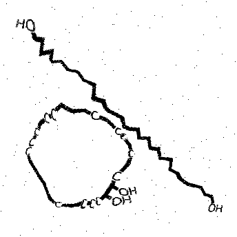 OC1CCCCCCCCCCCCCCCCCCCCCCCCCCC1O.OCCCCCCCCCCCCCCCCCCCCCCCCCCCCO